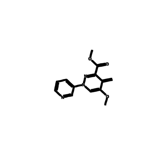 C=C1C(OC)=CN(c2cccnc2)N=C1C(=O)OC